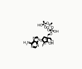 CP(=O)(O)OP(C)(=O)OP(=O)(O)OC[C@@]1(CCl)C[C@@H](n2cnc3c(N)ncnc32)[C@H](F)[C@@H]1O